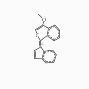 COC1=CC/C(=C2\C=Cc3ccccc32)c2ccccc21